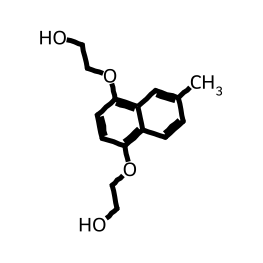 Cc1ccc2c(OCCO)ccc(OCCO)c2c1